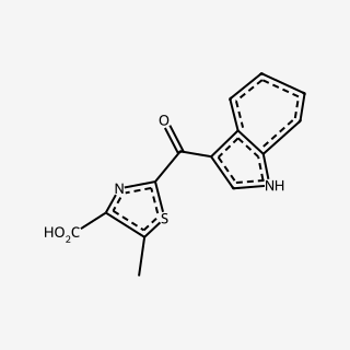 Cc1sc(C(=O)c2c[nH]c3ccccc23)nc1C(=O)O